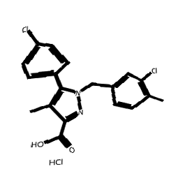 Cc1ccc(Cn2nc(C(=O)O)c(C)c2-c2ccc(Cl)cc2)cc1Cl.Cl